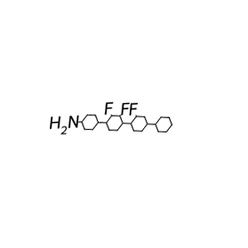 NC1CCC(C2CCC(C3CCC(C4CCCCC4)CC3F)C(F)C2F)CC1